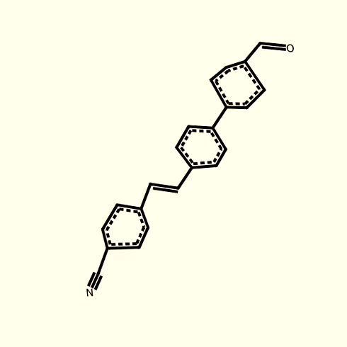 N#Cc1ccc(C=Cc2ccc(-c3ccc(C=O)cc3)cc2)cc1